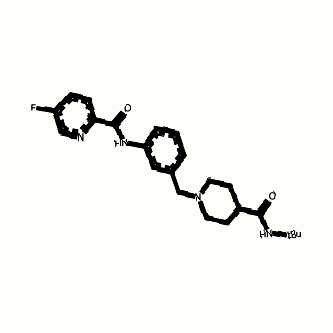 CC(C)(C)NC(=O)C1CCN(Cc2cccc(NC(=O)c3ccc(F)cn3)c2)CC1